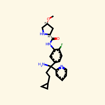 CO[C@H]1CN[C@@H](C(=O)Nc2cc(C(N)(CCC3CC3)c3ccccn3)ccc2F)C1